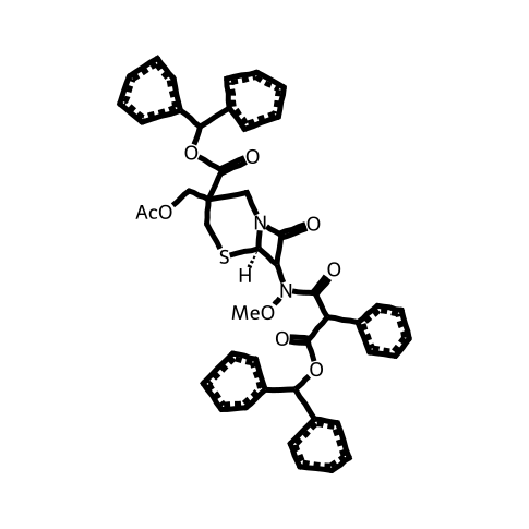 CON(C(=O)C(C(=O)OC(c1ccccc1)c1ccccc1)c1ccccc1)C1C(=O)N2CC(COC(C)=O)(C(=O)OC(c3ccccc3)c3ccccc3)CS[C@H]12